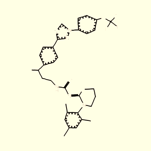 Cc1cc(C)c(N2CCCS/C2=N\C(=O)NCCC(C)c2ccc(-c3ncn(-c4ccc(OC(F)(F)F)cc4)n3)cc2)c(C)c1